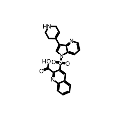 O=C(O)c1nc2ccccc2cc1S(=O)(=O)n1cc(C2=CCNCC2)c2ncccc21